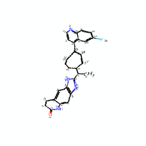 CC(c1nc2cc3c(cc2[nH]1)CCC(=O)N3)C1CCC(c2ccnc3ccc(F)cc23)CC1